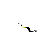 N#C/C=C/[S][Ag]